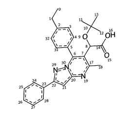 CCc1ccc(-c2c(C(OC(C)(C)C)C(=O)O)c(C)nc3cc(-c4ccccc4)nn23)cc1